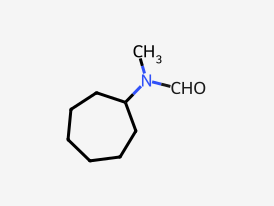 CN(C=O)C1CCCCCC1